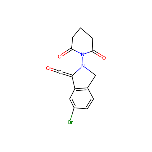 O=C=C1c2cc(Br)ccc2CN1N1C(=O)CCCC1=O